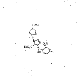 CCOC(=O)c1c(C(O)c2ccc(C)cc2[N+](=O)[O-])nnn1Cc1ccc(OC)cc1